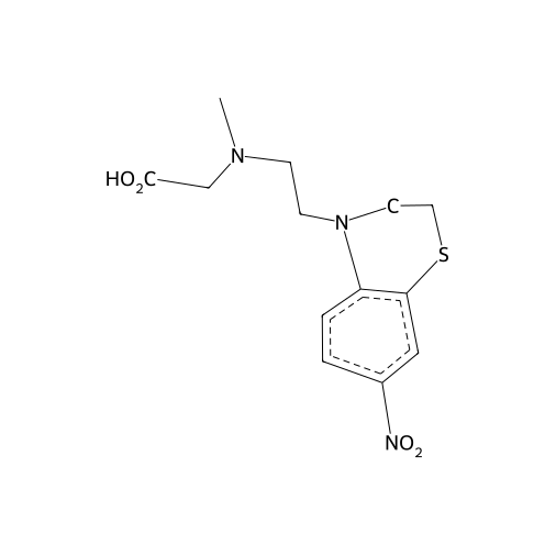 CN(CCN1CCSc2cc([N+](=O)[O-])ccc21)CC(=O)O